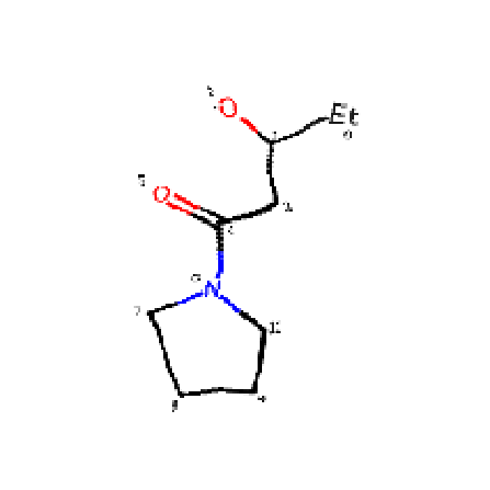 CCC([O])CC(=O)N1CCCC1